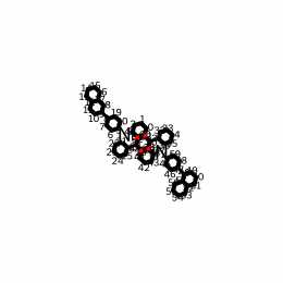 c1ccc(N(c2ccc(-c3ccc4ccccc4c3)cc2)c2ccccc2-c2ccc(-c3ccccc3N(c3ccccc3)c3ccc(-c4cccc5ccccc45)cc3)cc2)cc1